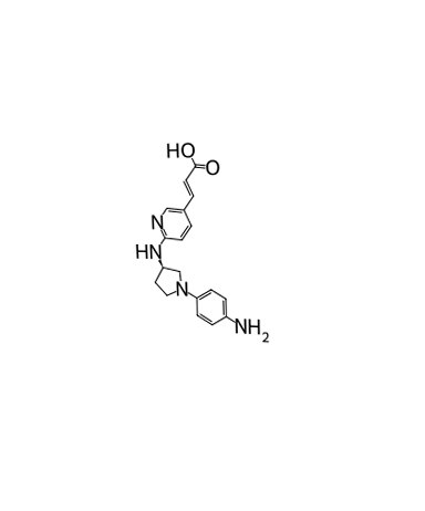 Nc1ccc(N2CC[C@@H](Nc3ccc(/C=C/C(=O)O)cn3)C2)cc1